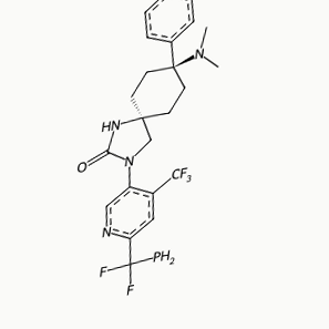 CN(C)[C@]1(c2ccccc2)CC[C@]2(CC1)CN(c1cnc(C(F)(F)P)cc1C(F)(F)F)C(=O)N2